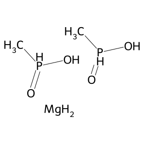 C[PH](=O)O.C[PH](=O)O.[MgH2]